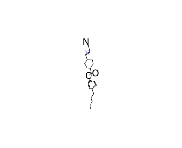 CCCCCc1ccc(OC(=O)C2CCC(/C=C/C#N)CC2)cc1